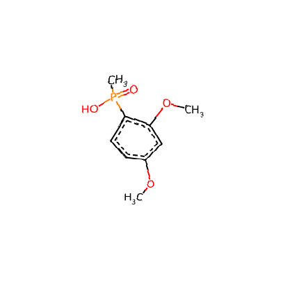 COc1ccc(P(C)(=O)O)c(OC)c1